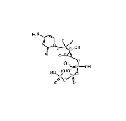 C[C@]12O[C@@H](n3ccc(N)nc3=O)C(F)(F)[C@@]1(O)C2OP(=O)(O)OP(=O)(O)OP(=O)(O)O